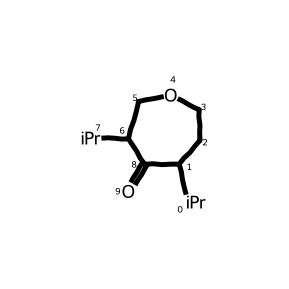 CC(C)C1CCOCC(C(C)C)C1=O